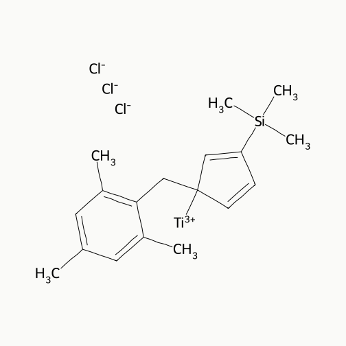 Cc1cc(C)c(C[C]2([Ti+3])C=CC([Si](C)(C)C)=C2)c(C)c1.[Cl-].[Cl-].[Cl-]